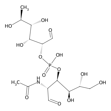 CC(=O)N[C@@H](C=O)[C@@H](OP(=O)(O)O[C@@H](C=O)[C@H](O)[C@@H](O)[C@H](C)O)[C@H](O)[C@H](O)CO